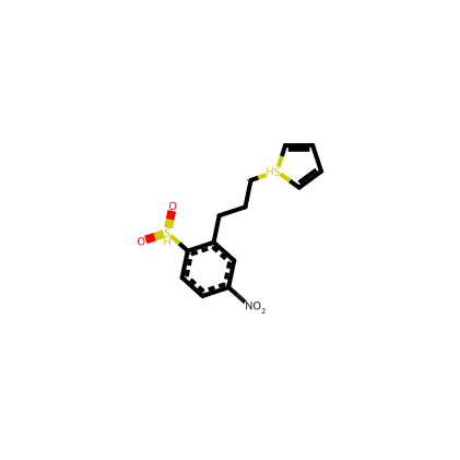 O=[N+]([O-])c1ccc([SH](=O)=O)c(CC[CH][SH]2C=CC=C2)c1